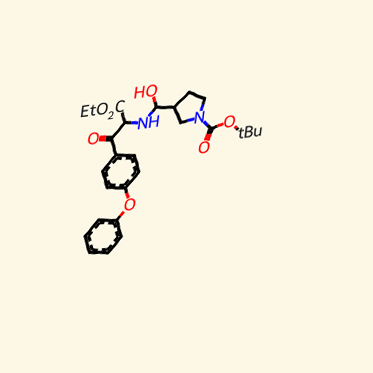 CCOC(=O)C(NC(O)C1CCN(C(=O)OC(C)(C)C)C1)C(=O)c1ccc(Oc2ccccc2)cc1